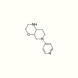 c1cc(N2CCC3NCCOC3C2)ccn1